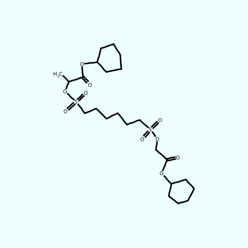 CC(OS(=O)(=O)CCCCCCS(=O)(=O)OCC(=O)OC1CCCCC1)C(=O)OC1CCCCC1